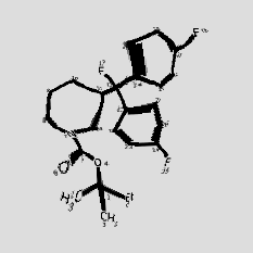 CCC(C)(C)OC(=O)N1CCCC(C(F)(c2ccc(F)cc2)c2ccc(F)cc2)C1